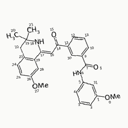 COc1cccc(NC(=O)c2cccc(C(=O)C=C3NC(C)(C)Cc4ccc(OC)cc43)c2)c1